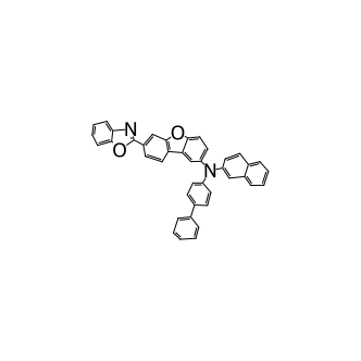 c1ccc(-c2ccc(N(c3ccc4ccccc4c3)c3ccc4oc5cc(-c6nc7ccccc7o6)ccc5c4c3)cc2)cc1